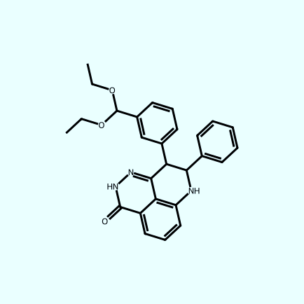 CCOC(OCC)c1cccc(C2c3n[nH]c(=O)c4cccc(c34)NC2c2ccccc2)c1